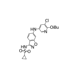 CC(C)COc1ncc(Nc2ccc3c(NS(=O)(=O)C4CC4)noc3c2)cc1Cl